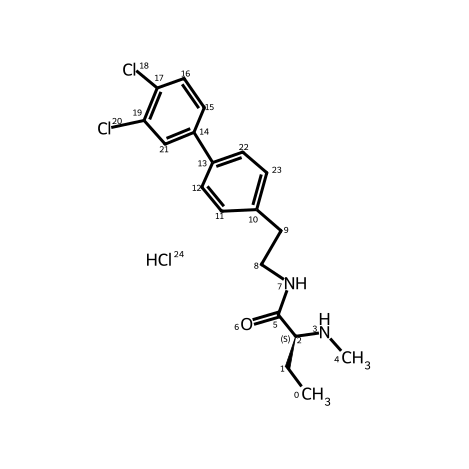 CC[C@H](NC)C(=O)NCCc1ccc(-c2ccc(Cl)c(Cl)c2)cc1.Cl